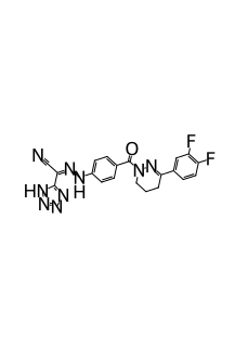 N#C/C(=N/Nc1ccc(C(=O)N2CCCC(c3ccc(F)c(F)c3)=N2)cc1)c1nnn[nH]1